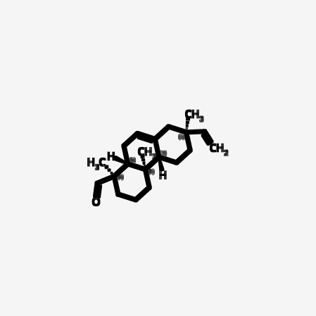 C=C[C@@]1(C)CC[C@H]2C(=CC[C@@H]3[C@]2(C)CCC[C@@]3(C)C=O)C1